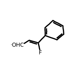 O=[C]C=C(F)c1ccccc1